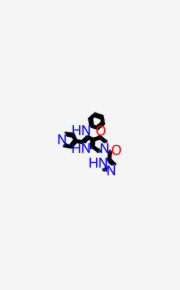 O=C1CN(C(=O)c2cnc[nH]2)Cc2[nH]c(-c3ccncc3)c(Nc3ccccc3)c21